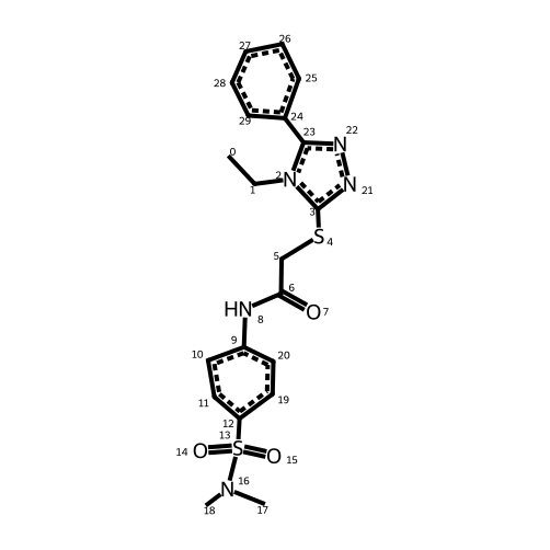 CCn1c(SCC(=O)Nc2ccc(S(=O)(=O)N(C)C)cc2)nnc1-c1ccccc1